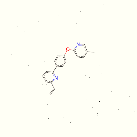 C=Cc1cccc(-c2ccc(Oc3ccc(C)cn3)cc2)n1